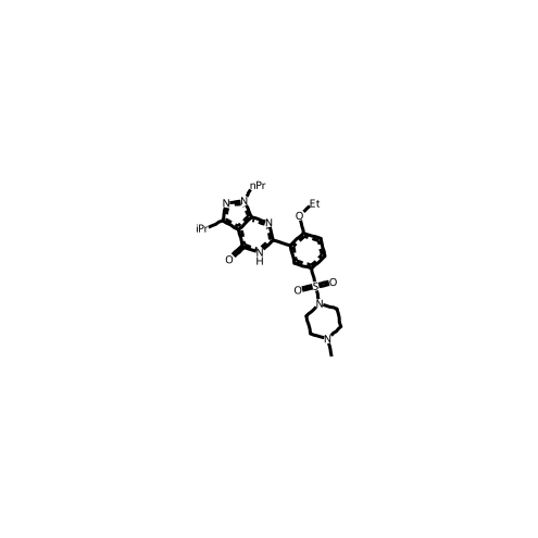 CCCn1nc(C(C)C)c2c(=O)[nH]c(-c3cc(S(=O)(=O)N4CCN(C)CC4)ccc3OCC)nc21